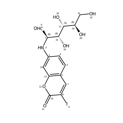 O=C[C@H](Nc1ccc2cc(I)c(=O)oc2c1)[C@@H](O)[C@H](O)[C@H](O)CO